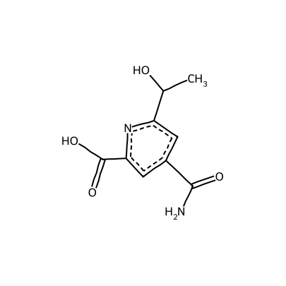 CC(O)c1cc(C(N)=O)cc(C(=O)O)n1